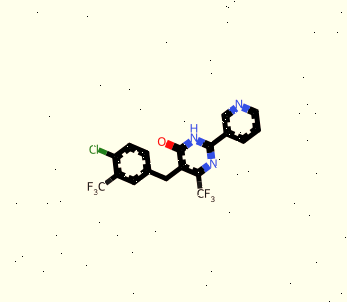 O=c1[nH]c(-c2cccnc2)nc(C(F)(F)F)c1Cc1ccc(Cl)c(C(F)(F)F)c1